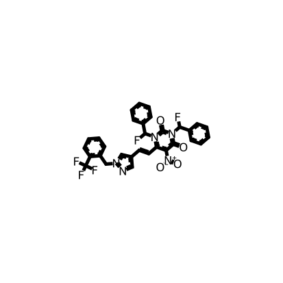 O=c1c([N+](=O)[O-])c(C=Cc2cnn(Cc3ccccc3C(F)(F)F)c2)n(C(F)c2ccccc2)c(=O)n1C(F)c1ccccc1